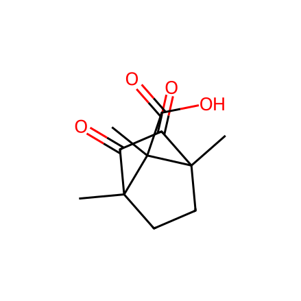 CC12CCC(C)(C(=O)C1=O)C2(C)C(=O)O